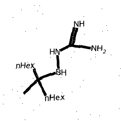 CCCCCCC(C)(BNC(=N)N)CCCCCC